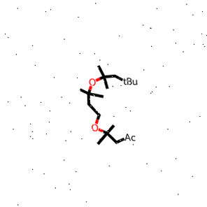 CC(=O)CC(C)(C)OCCC(C)(C)OC(C)(C)CC(C)(C)C